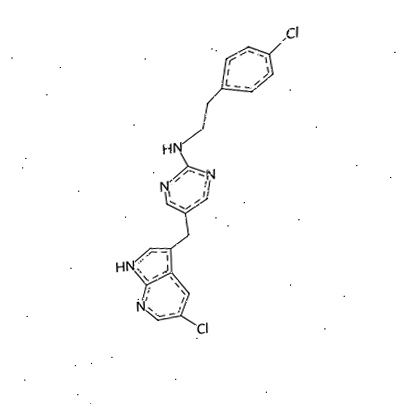 Clc1ccc(CCNc2ncc(Cc3c[nH]c4ncc(Cl)cc34)cn2)cc1